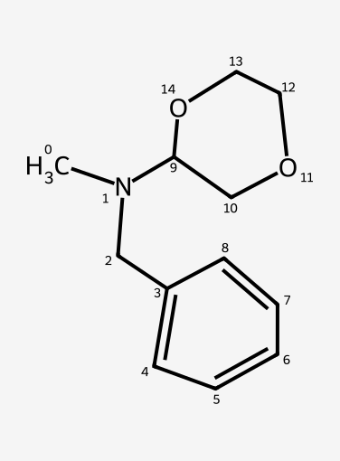 CN(Cc1ccccc1)C1COCCO1